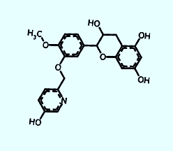 COc1ccc(C2Oc3cc(O)cc(O)c3CC2O)cc1OCc1ccc(O)cn1